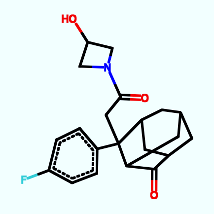 O=C1C2CC3CC(C2)C(CC(=O)N2CC(O)C2)(c2ccc(F)cc2)C1C3